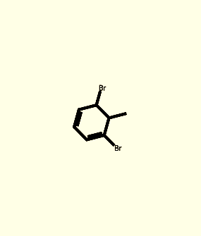 CC1C(Br)=CC=CC1Br